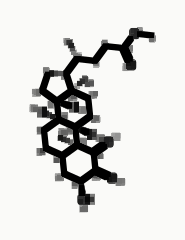 COC(=O)CC[C@@H](C)[C@H]1CC[C@H]2[C@@H]3CCC4C[C@H](O)C(=O)C(=O)[C@]4(C)[C@H]3CC[C@]12C